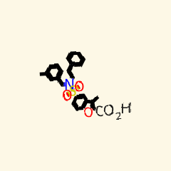 Cc1cccc(CN(CCc2ccccc2)S(=O)(=O)c2ccc3oc(C(=O)O)c(C)c3c2)c1